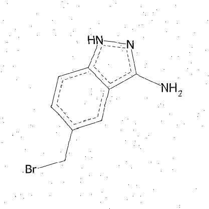 Nc1n[nH]c2ccc(CBr)cc12